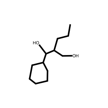 CCCC(CO)C(O)C1CCCCC1